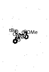 COC(=O)C1CCCCN1C(=O)C(CNC(=O)OC(C)(C)C)NC(=O)OCc1ccccc1